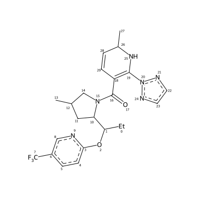 CCC(Oc1ccc(C(F)(F)F)cn1)C1CC(C)CN1C(=O)C1=C(n2nccn2)NC(C)C=C1